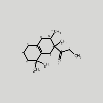 CCC(=O)C1(C)CC2=C(CCCC2(C)C)CC1C